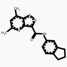 Cc1cc(C)c2snc(C(=O)Nc3ccc4c(c3)CCC4)c2n1